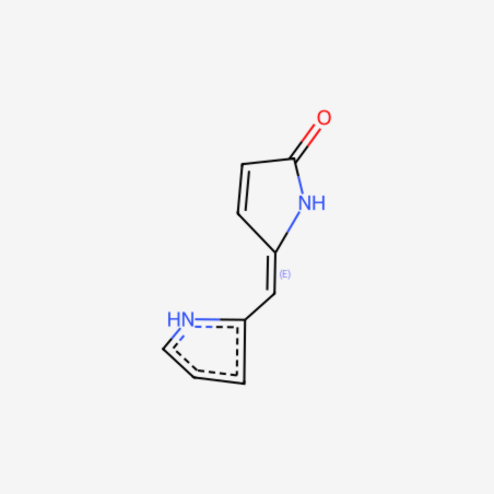 O=C1C=C/C(=C\c2ccc[nH]2)N1